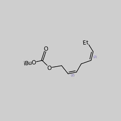 CC/C=C\C/C=C\COC(=O)OCC(C)C